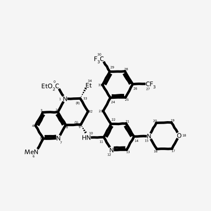 CCOC(=O)N1c2ccc(NC)nc2[C@@H](Nc2ncc(N3CCOCC3)cc2Cc2cc(C(F)(F)F)cc(C(F)(F)F)c2)C[C@H]1CC